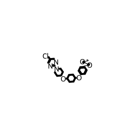 CS(=O)(=O)c1ccc(OC2CCC(OC3CCN(c4ncc(Cl)cn4)CC3)CC2)cc1